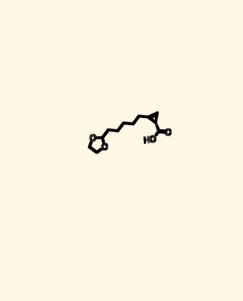 O=C(O)[C@@H]1C=C1CCCCCC1OCCO1